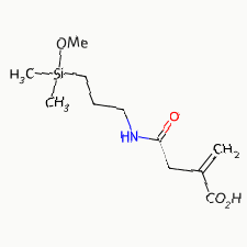 C=C(CC(=O)NCCC[Si](C)(C)OC)C(=O)O